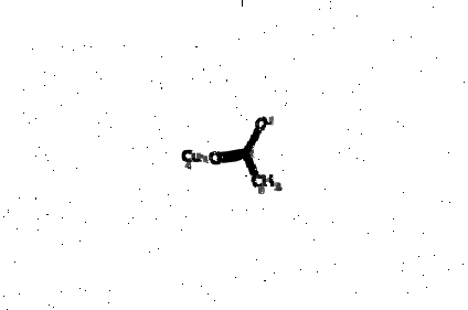 CC([O])=O.[Cu]